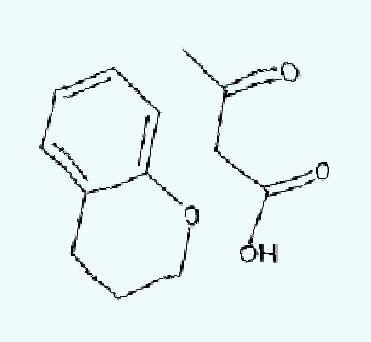 CC(=O)CC(=O)O.c1ccc2c(c1)CCCO2